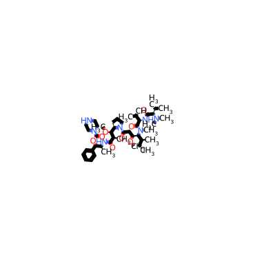 CC[C@H](C)[C@@H](C(CC(=O)N1CCC[C@H]1[C@H](OC)[C@@H](C)C(=O)N[C@H](C)C(OC(=O)N1CCNCC1)c1ccccc1)OC)N(C)C(=O)[C@@H](NC(=O)[C@H](C(C)C)N(C)C)C(C)C